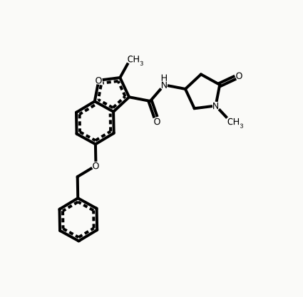 Cc1oc2ccc(OCc3ccccc3)cc2c1C(=O)NC1CC(=O)N(C)C1